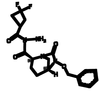 NN(C(=O)C1CC(F)(F)C1)C(=O)[C@@H]1CC[C@@H]2CN1C(=O)N2OCc1ccccc1